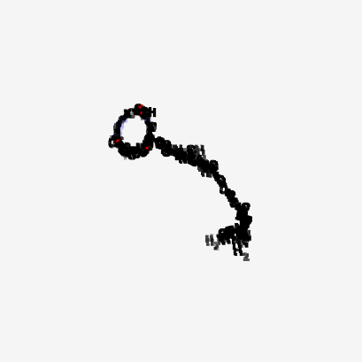 CO[C@H]1CC2CC[C@@H](C)C(O2)C(=O)C(=O)N2CCCC[C@H]2C(=O)O[C@H](CC[C@H]2CC[C@H](OC(=O)NCc3cnc(N4CCN(c5ncc(C(=O)NCCOCCOCCOCCOCCC(=O)N6CCc7cc(Cn8nc(-c9ccc%10oc(N)nc%10c9)c9c(N)ncnc98)ccc7C6)cn5)CC4CO)nc3)CC2)CC(=O)[C@H](C)/C=C(\C)[C@@H](O)[C@@H](OC)C(=O)[C@H](C)C[C@H](C)/C=C/C=C/C=C/1C